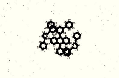 C1=C(c2ccccc2)N(c2ccc3c(-c4cc(-c5ccccc5)cc(-c5ccccc5)c4)c4cc(-n5c(-c6ccccc6)ccc5-c5ccccc5)ccc4c(-c4cccc5ccccc45)c3c2)C(c2ccccc2)C1